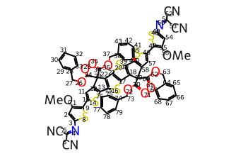 COc1cc(N=C(C#N)C#N)sc1-c1cc2c(s1)-c1sc3c4c(sc3c1C2(C(=O)OCc1ccccc1)C(=O)OCc1ccccc1)-c1sc(-c2sc(N=C(C#N)C#N)cc2OC)cc1C4(C(=O)OCc1ccccc1)C(=O)OCc1ccccc1